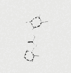 CC(=O)c1cc(Cl)c(F)cc1OCC(=O)Nc1ccccc1C(=O)O